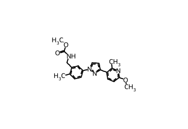 COC(=O)NCc1cc(-n2ccc(-c3ccc(OC)nc3C)n2)ccc1C